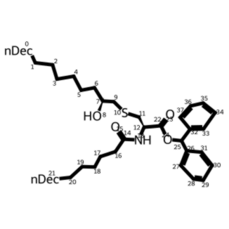 CCCCCCCCCCCCCCCC[C@H](O)CSC[C@H](NC(=O)CCCCCCCCCCCCCCC)C(=O)OC(c1ccccc1)c1ccccc1